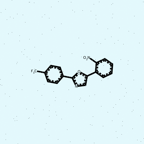 O=[N+]([O-])c1ccccc1-c1cnc(-c2ccc(C(F)(F)F)cc2)o1